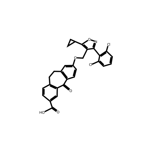 O=C(O)c1ccc2c(c1)C(=O)c1ccc(OCc3c(-c4c(Cl)cccc4Cl)noc3C3CC3)cc1CC2